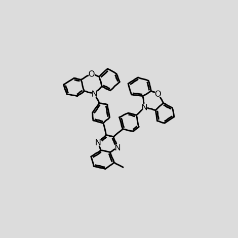 Cc1cccc2nc(-c3ccc(N4c5ccccc5Oc5ccccc54)cc3)c(-c3ccc(N4c5ccccc5Oc5ccccc54)cc3)nc12